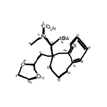 CN(C(=O)O)C(C(C)(C)C)C1(CC2OCCO2)CCCc2ccccc21